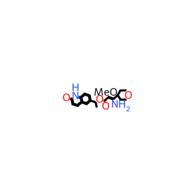 COC1(C(N)=CC(=O)OC(C)c2ccc3[nH]c(=O)ccc3c2)CCOCC1